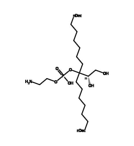 CCCCCCCCCCCCCCCCC(CCCCCCCCCCCCCCCC)(OP(=O)(O)OCCN)[C@@H](O)CO